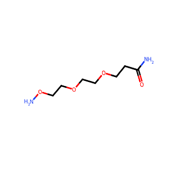 NOCCOCCOCCC(N)=O